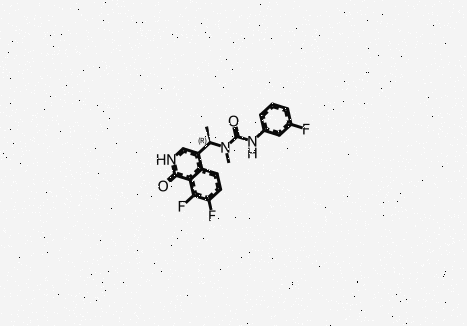 C[C@H](c1c[nH]c(=O)c2c(F)c(F)ccc12)N(C)C(=O)Nc1cccc(F)c1